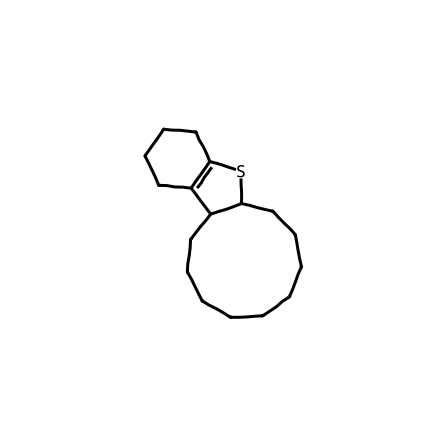 C1CCCCC2SC3=C(CCCC3)C2CCCC1